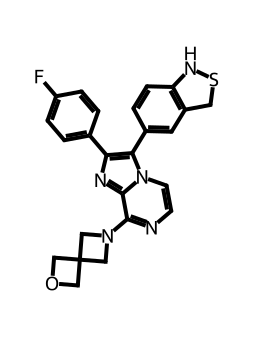 Fc1ccc(-c2nc3c(N4CC5(COC5)C4)nccn3c2-c2ccc3c(c2)CSN3)cc1